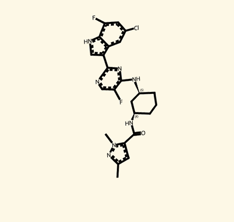 Cc1cc(C(=O)N[C@@H]2CCC[C@H](Nc3nc(-c4c[nH]c5c(F)cc(Cl)cc45)ncc3F)C2)n(C)n1